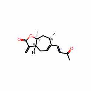 C=C1C(=O)O[C@H]2C[C@H](C)C(/C=C/C(C)=O)=CC[C@H]12